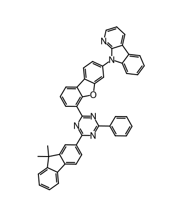 CC1(C)c2ccccc2-c2ccc(-c3nc(-c4ccccc4)nc(-c4cccc5c4oc4cc(-n6c7ccccc7c7cccnc76)ccc45)n3)cc21